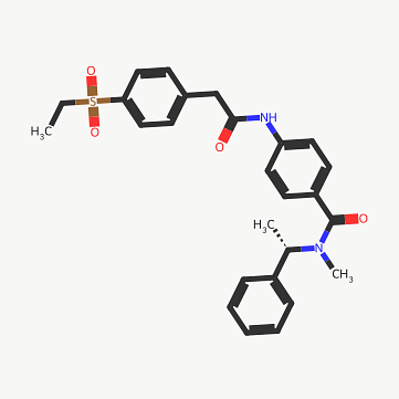 CCS(=O)(=O)c1ccc(CC(=O)Nc2ccc(C(=O)N(C)[C@@H](C)c3ccccc3)cc2)cc1